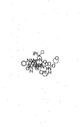 C=C[C@@H]1C[C@]1(NC(=O)[C@@H]1C[C@@](C(C)C)(C2CCC2)CN1C(=O)[C@@H](NC(=O)[C@@H](NC(=O)OC1CCOCC1)C1CCCCC1)C(C)(C)C)C(=O)NS(=O)(=O)c1ccccc1NC